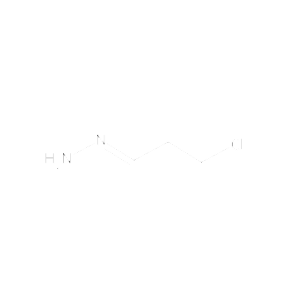 NN=[C]CCCl